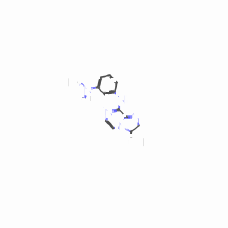 CC1CN=C2C(Nc3cccc(N(C)C)c3)=NC=CN21